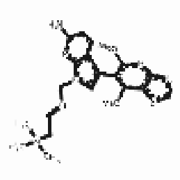 COc1nc2ncsc2c(OC)c1-c1cn(COCC[Si](C)(C)C)c2nc(N)ccc12